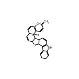 C=C/C=C\C1=C(C)C=CC2C=CC3OC4c5c([nH]c6c5=CCCC=6)C=CC4C3[C@@H]12